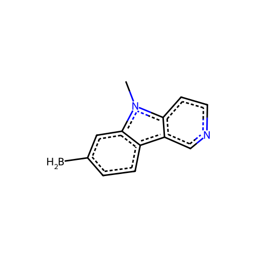 Bc1ccc2c3cnccc3n(C)c2c1